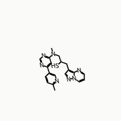 Cc1ccc(-c2cc(N(C)CC(S)Cc3cnn4cccnc34)ncn2)cn1